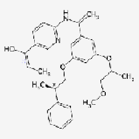 C=C(Nc1ccc(/C(O)=C\C)cn1)c1cc(OC[C@H](C)c2ccccc2)cc(OC(C)COC)c1